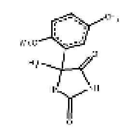 COc1ccc(C)cc1C1(C)NC(=O)NC1=O